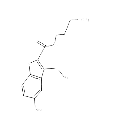 COc1ccc2sc(C(=O)NCCCC(=O)O)c(OC(C)C)c2c1